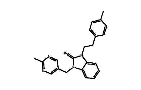 Cc1ccc(CCn2c(=N)n(Cc3cnc(C)nc3)c3ccccc32)cc1